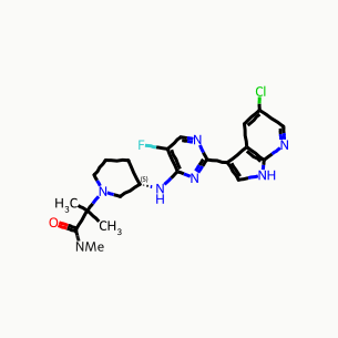 CNC(=O)C(C)(C)N1CCC[C@H](Nc2nc(-c3c[nH]c4ncc(Cl)cc34)ncc2F)C1